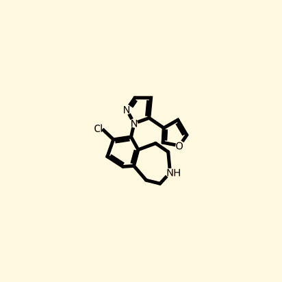 Clc1ccc2c(c1-n1nccc1-c1ccoc1)CCNCC2